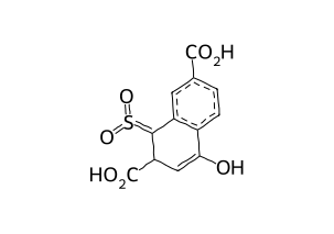 O=C(O)c1ccc2c(c1)C(=S(=O)=O)C(C(=O)O)C=C2O